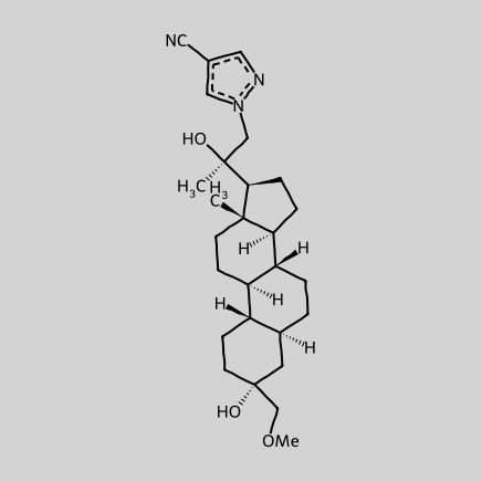 COC[C@@]1(O)CC[C@H]2[C@@H](CC[C@@H]3[C@@H]2CC[C@@]2(C)[C@H]3CC[C@@H]2[C@@](C)(O)Cn2cc(C#N)cn2)C1